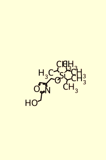 CC(C)[Si](OCc1coc(CO)n1)(C(C)C)C(C)C